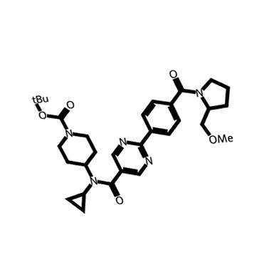 COCC1CCCN1C(=O)c1ccc(-c2ncc(C(=O)N(C3CC3)C3CCN(C(=O)OC(C)(C)C)CC3)cn2)cc1